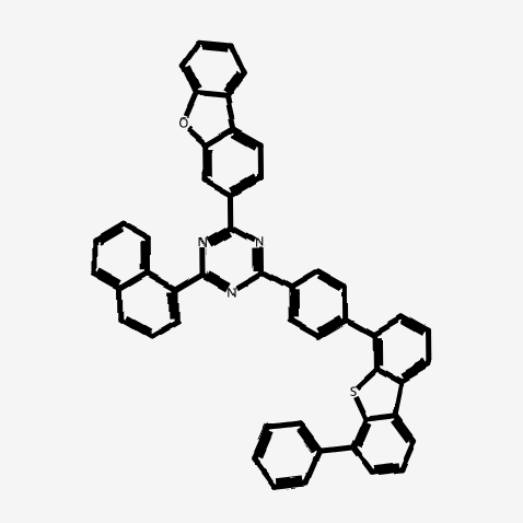 c1ccc(-c2cccc3c2sc2c(-c4ccc(-c5nc(-c6ccc7c(c6)oc6ccccc67)nc(-c6cccc7ccccc67)n5)cc4)cccc23)cc1